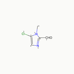 Cn1c(Cl)cnc1C=O